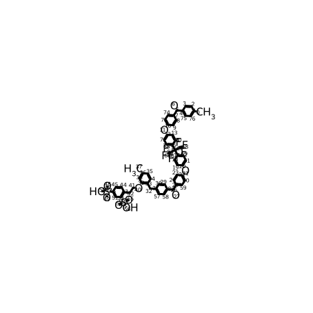 Cc1ccc(C(=O)c2ccc(Oc3ccc(C(c4ccc(Oc5ccc(C(=O)c6ccc(Cc7ccc(C)cc7OCCc7ccc(S(=O)(=O)O)cc7S(=O)(=O)O)cc6)cc5)cc4)(C(F)(F)F)C(F)(F)F)cc3)cc2)cc1